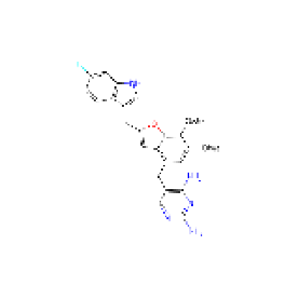 COc1cc(Cc2cnc(N)nc2N)c2cc(Cc3c[nH]c4cc(F)ccc34)oc2c1OC